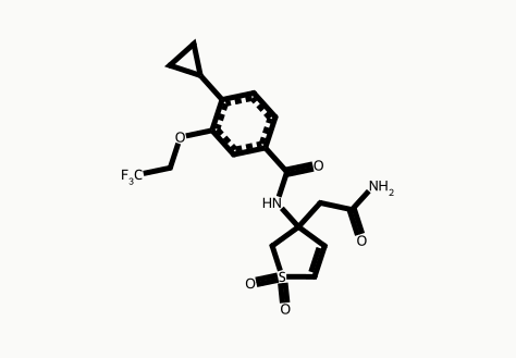 NC(=O)CC1(NC(=O)c2ccc(C3CC3)c(OCC(F)(F)F)c2)C=CS(=O)(=O)C1